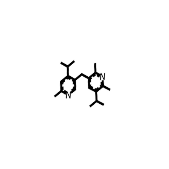 Cc1cc(C(C)C)c(Cc2cc(C(C)C)c(C)nc2C)cn1